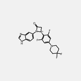 O=C1C[C@@H](c2c(F)cc(N3CCC(F)(F)CC3)cc2F)N1c1ccc2[nH]cnc2c1